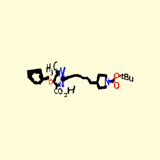 Cc1nc(CCCCC2CCN(C(=O)OC(C)(C)C)CC2)nc(C(=O)O)c1OCc1ccccc1